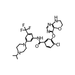 CC(C)N1CCN(c2cc(NC(=O)c3ccc(Cl)c(Oc4ncnc5c4OCCN5)c3)cc(C(F)(F)F)c2)CC1